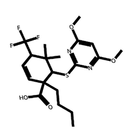 CCCCC1(C(=O)O)C=CC(C(F)(F)F)C(C)(C)C1Sc1nc(OC)cc(OC)n1